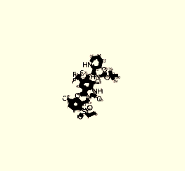 CCS(=O)(=O)c1ccc(Cl)cc1Cn1c(=O)[nH]c2c(Cl)c(C[C@@H](NC(=O)OC(C)(C)C)C3CCCCN3)c(C(F)(F)F)cc2c1=O